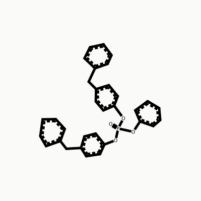 O=P(Oc1ccccc1)(Oc1ccc(Cc2ccccc2)cc1)Oc1ccc(Cc2ccccc2)cc1